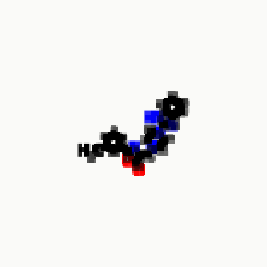 Cc1cccc(C2=NC(=CN3CCN(c4nc5ccccc5[nH]4)CC3)C(=O)O2)c1